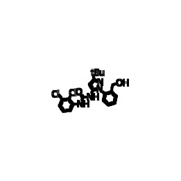 CC(C)(C)c1cc(NC(=O)Nc2cccc(Cl)c2Cl)n(-c2ccccc2CO)n1